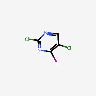 Clc1ncc(Cl)c(I)n1